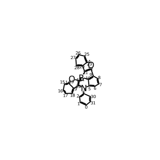 c1ccc(N2c3cccc4c3B(c3oc5ccccc5c32)c2c-4oc3ccccc23)cc1